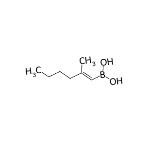 CCCC/C(C)=C/B(O)O